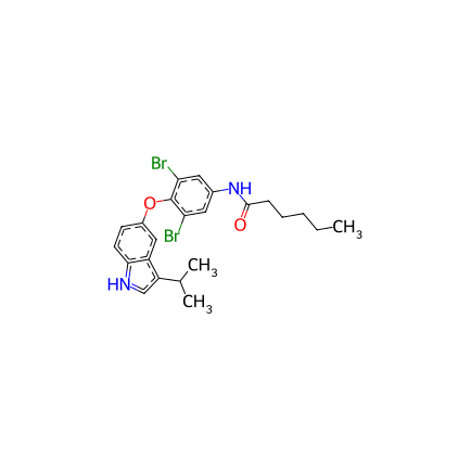 CCCCCC(=O)Nc1cc(Br)c(Oc2ccc3[nH]cc(C(C)C)c3c2)c(Br)c1